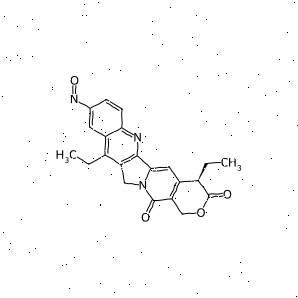 CCc1c2c(nc3ccc(N=O)cc13)-c1cc3c(c(=O)n1C2)COC(=O)[C@@H]3CC